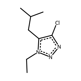 CCn1nnc(Cl)c1CC(C)C